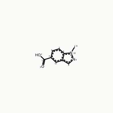 O=C(O)c1ccc2c(cnn2I)c1